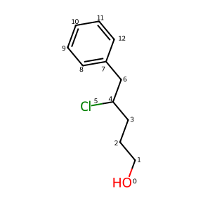 OCCCC(Cl)Cc1ccccc1